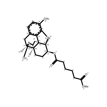 COC(=O)CCCCC(=O)O[C@H]1CC[C@H]2[C@H]3Cc4ccc(OC(C)=O)c5c4[C@@]2(CCN3C)[C@H]1O5